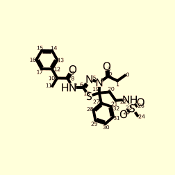 CCC(=O)N1N=C(NC(=O)C(C)c2ccccc2)SC1(CCNS(C)(=O)=O)c1ccccc1